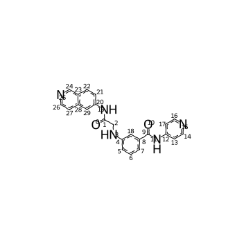 O=C(CNc1cccc(C(=O)Nc2ccncc2)c1)Nc1ccc2cnccc2c1